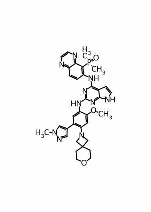 COc1cc(N2CC3(CCOCC3)C2)c(-c2cnn(C)c2)cc1Nc1nc(Nc2ccc3nccnc3c2P(C)(C)=O)c2cc[nH]c2n1